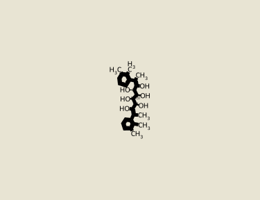 CC(=C(O)[C@@H](O)[C@@H](O)[C@H](O)[C@@H](O)C(O)=C(C)c1cccc(C)c1C)c1cccc(C)c1C